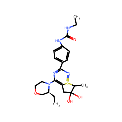 CCNC(=O)Nc1ccc(C2=NC(N3CCOC[C@@H]3CC)=C3CC(O)(O)C(C)S3=N2)cc1